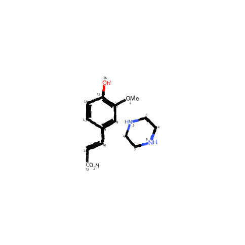 C1CNCCN1.COc1cc(/C=C/C(=O)O)ccc1O